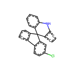 Clc1ccc2c(c1)C1(c3ccccc3Nc3ccccc31)c1ccccc1-2